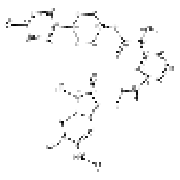 CCNC(=O)C(C#N)CC1SC(CCNc2cccc(N(C)C(=O)CN3CCN(c4ccc(Cl)cc4)CC3)c2)C(=O)N1CC